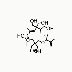 C=C(C)C(=O)OCC(CO)(CO)CO.CC(=CC(CO)(CO)C(C)CO)C(=O)O